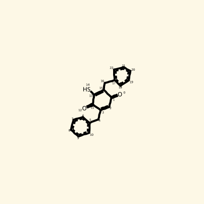 O=C1C=C(Cc2ccccc2)C(=O)C(S)=C1Cc1ccccc1